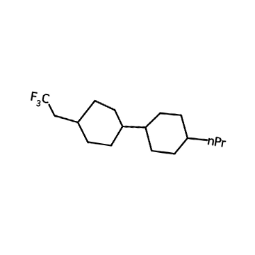 CCCC1CCC(C2CCC(CC(F)(F)F)CC2)CC1